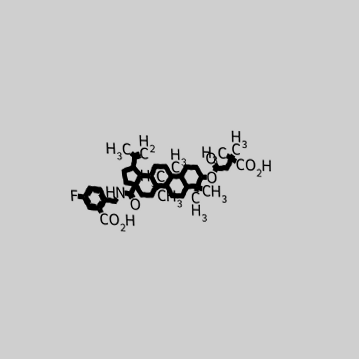 C=C(C)C1CCC2(C(=O)NCc3ccc(F)cc3C(=O)O)CC[C@]3(C)C(CCC4C5(C)CCC(OC(=O)CC(C)(C)C(=O)O)C(C)(C)C5CCC43C)C12